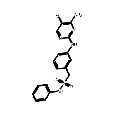 Nc1nc(Nc2cccc(CS(=O)(=O)Nc3ccccc3)c2)ncc1Cl